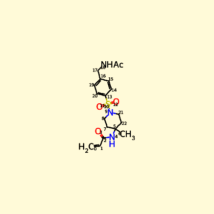 C=CC(=O)NC1(C)CCN(S(=O)(=O)c2ccc(CNC(C)=O)cc2)CC1